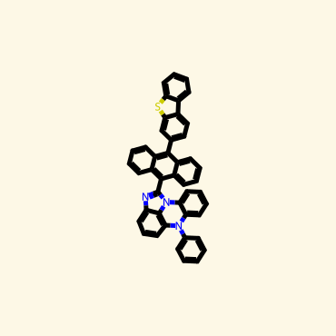 c1ccc(N2c3ccccc3-n3c(-c4c5ccccc5c(-c5ccc6c(c5)sc5ccccc56)c5ccccc45)nc4cccc2c43)cc1